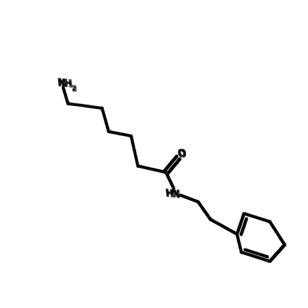 NCCCCCC(=O)NCCC1=CCCC=C1